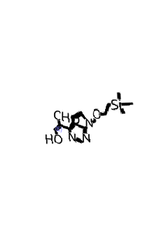 C[Si](C)(C)CCOCn1ccc2c(/C(C=O)=C\O)ncnc21